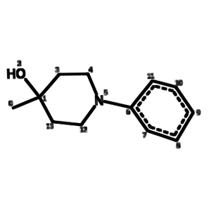 CC1(O)CCN(c2ccccc2)CC1